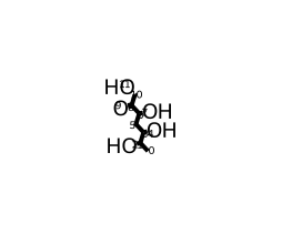 CC(O)C(O)CC(O)C(=O)CO